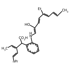 CC=CC=C(C=CC(O)=CNc1ccccc1C(C(=O)O)/C(C=CCCC)=C/C)CC